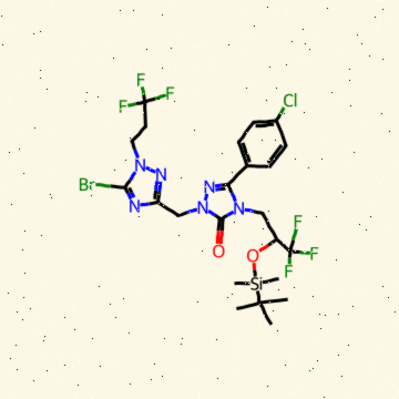 CC(C)(C)[Si](C)(C)OC(Cn1c(-c2ccc(Cl)cc2)nn(Cc2nc(Br)n(CCC(F)(F)F)n2)c1=O)C(F)(F)F